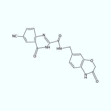 N#Cc1ccc2nc(C(=O)NCc3ccc4c(c3)OCC(=O)N4)[nH]c(=O)c2c1